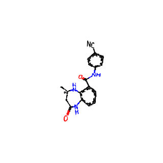 C[C@@H]1CC(=O)Nc2cccc(C(=O)Nc3ccc(C#N)cc3)c2N1